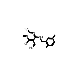 C=N/C(Cl)=C(C=N)\C(=N/CN)NCc1cc(C)ccc1F